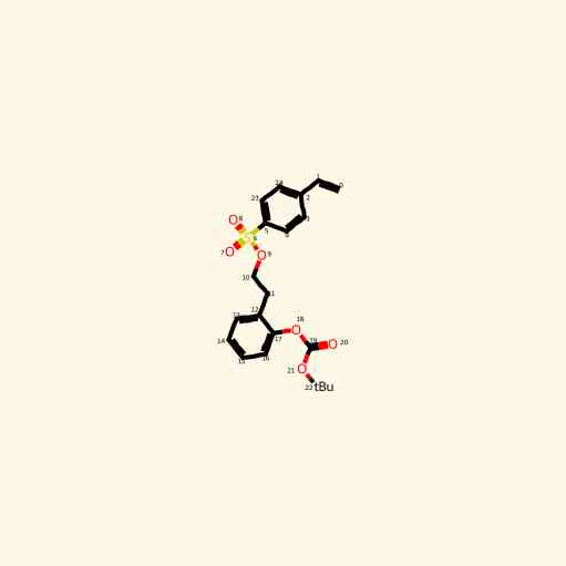 C=Cc1ccc(S(=O)(=O)OCCc2ccccc2OC(=O)OC(C)(C)C)cc1